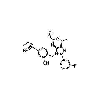 CCOc1nc(C)c2nc(-c3cncc(F)c3)n(Cc3ccc(C4=CN5CCC4CC5)cc3C#N)c2n1